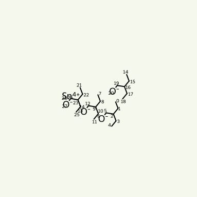 CCC(CC)C[O-].CCC(CC)C[O-].CCC(CC)C[O-].CCC(CC)C[O-].[Sn+4]